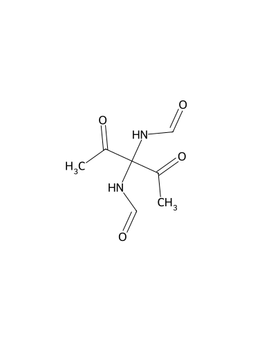 CC(=O)C(NC=O)(NC=O)C(C)=O